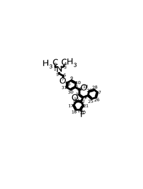 CCN(CC)CCOc1ccc(C(=O)c2oc3ccc(F)cc3c2-c2ccccc2)cc1